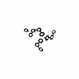 C1=CC2OC3C(=CC=CC3C3C=CC(N(C4=CC=C(C5=CC=CC6c7ccc8c(c9c(n8-c8ccccc8)CCC=C9)c7OC56)CC4)c4ccc(C5=C6OC7=C(C=CCC7)C6CC=C5)cc4)CC3)C2C=C1